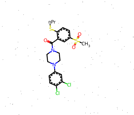 CCCSc1ccc(S(C)(=O)=O)cc1C(=O)N1CCN(c2ccc(Cl)c(Cl)c2)CC1